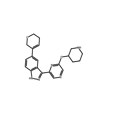 C1=C(c2ccc3[nH]nc(-c4cncc(OC5CCCNC5)n4)c3c2)COCC1